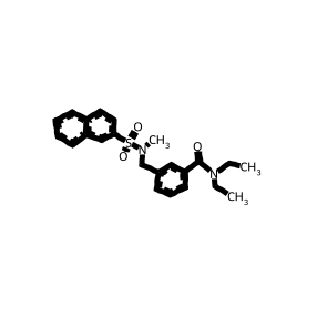 CCN(CC)C(=O)c1cccc(CN(C)S(=O)(=O)c2ccc3ccccc3c2)c1